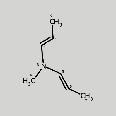 C/C=C/N(C)/C=C/C